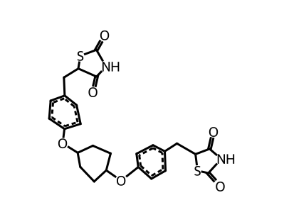 O=C1NC(=O)C(Cc2ccc(OC3CCC(Oc4ccc(CC5SC(=O)NC5=O)cc4)CC3)cc2)S1